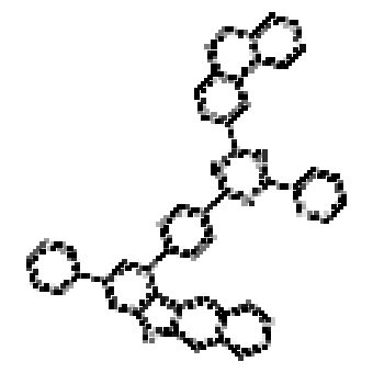 c1ccc(-c2cc(-c3ccc(-c4nc(-c5ccccc5)nc(-c5ccc6ccc7ccccc7c6c5)n4)cc3)c3c(c2)oc2cc4ccccc4cc23)cc1